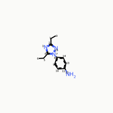 CCc1nc(CC)n(-c2ccc(N)cc2)n1